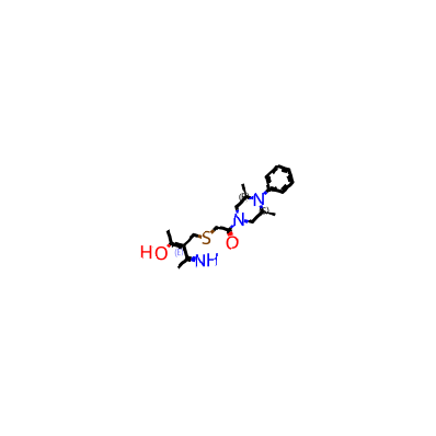 CC(=N)/C(CSCC(=O)N1C[C@@H](C)N(c2ccccc2)[C@@H](C)C1)=C(/C)O